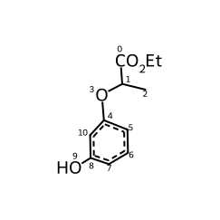 CCOC(=O)C(C)Oc1cccc(O)c1